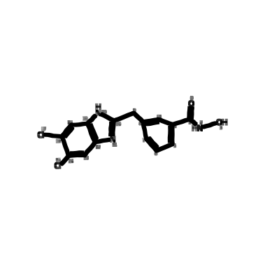 O=C(NO)c1cccc(Cc2nc3cc(Cl)c(Cl)cc3[nH]2)c1